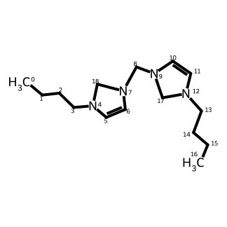 CCCCN1C=CN(CN2C=CN(CCCC)C2)C1